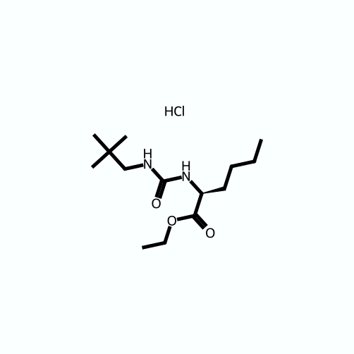 CCCC[C@H](NC(=O)NCC(C)(C)C)C(=O)OCC.Cl